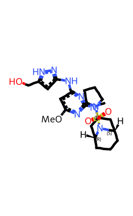 COc1cc(Nc2cc(CO)[nH]n2)nc(N(C)[C@H]2C[C@H]3CCC[C@@H](C2)N3S(=O)(=O)N2CCCC2)n1